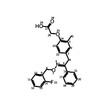 Cc1cc(CC(=NOCc2ccccc2F)c2ccccc2)ccc1OCC(=O)O